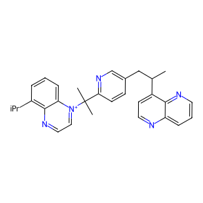 CC(C)c1cccc2c1ncc[n+]2C(C)(C)c1ccc(CC(C)c2ccnc3cccnc23)cn1